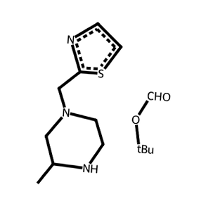 CC(C)(C)OC=O.CC1CN(Cc2nccs2)CCN1